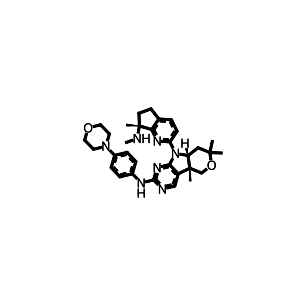 CN[C@]1(C)CCc2ccc(N3c4nc(Nc5ccc(N6CCOCC6)cc5)ncc4[C@@]4(C)COC(C)(C)C[C@@H]34)nc21